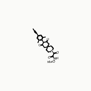 CC#Cc1cc(C)c(C2C(=O)CC3(CCN(C(=O)C(=O)NOC)CC3)CC2=O)c(C)c1